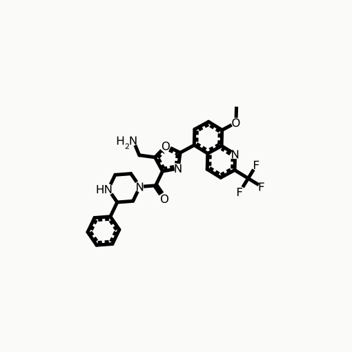 COc1ccc(-c2nc(C(=O)N3CCNC(c4ccccc4)C3)c(CN)o2)c2ccc(C(F)(F)F)nc12